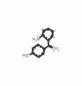 C=C(c1ccc(C)cc1)c1ccccc1N